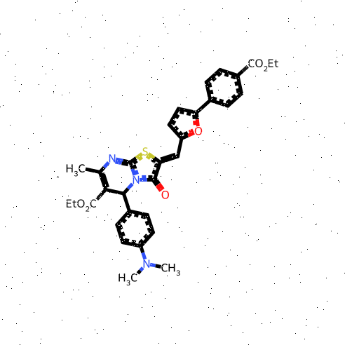 CCOC(=O)C1=C(C)N=c2s/c(=C\c3ccc(-c4ccc(C(=O)OCC)cc4)o3)c(=O)n2C1c1ccc(N(C)C)cc1